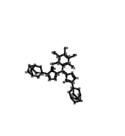 Fc1c(F)c(F)c(/C(=C2\C=CC(C34CC5CC(C3)C(C5)C4)=N2)c2ccc(C34CC5CC(C3)C(C5)C4)[nH]2)c(F)c1F